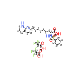 O=C(O)C(CC=CCCCCc1ccc2c(n1)NCCC2)NS(=O)(=O)c1ccccc1.O=C(O)C(F)(F)F.O=C(O)C(F)(F)F